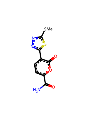 CSc1nnc(-c2ccc(C(N)=O)oc2=O)s1